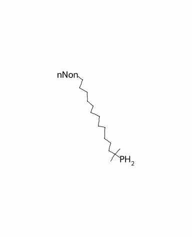 CCCCCCCCCCCCCCCCCCCCCC(C)(C)P